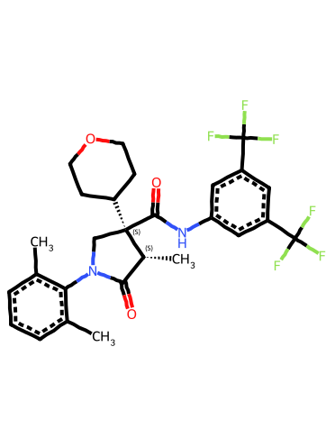 Cc1cccc(C)c1N1C[C@](C(=O)Nc2cc(C(F)(F)F)cc(C(F)(F)F)c2)(C2CCOCC2)[C@H](C)C1=O